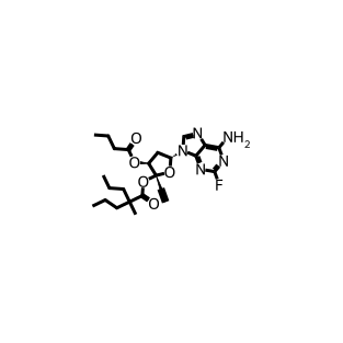 C#C[C@]1(OC(=O)C(C)(CCC)CCC)O[C@@H](n2cnc3c(N)nc(F)nc32)C[C@@H]1OC(=O)CCC